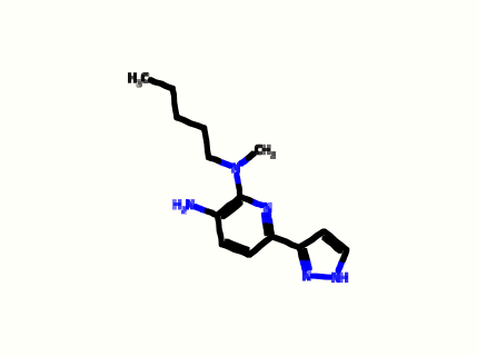 CCCCCN(C)c1nc(-c2cc[nH]n2)ccc1N